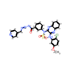 COc1ccc(Cl)c(Nc2nc3ccccc3nc2N(c2cccc(C(=O)N=[N+]=NCc3ccncc3)c2)[SH](=O)=O)c1